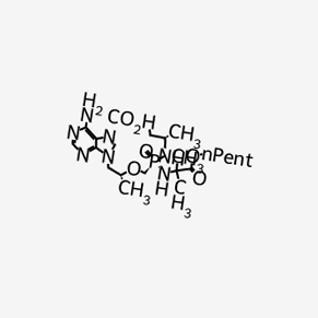 CCCCCOC(=O)C(C)(C)N[P@@](=O)(CO[C@H](C)Cn1cnc2c(N)ncnc21)N[C@@H](C)CC(=O)O